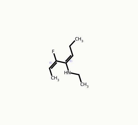 C/C=C(F)\C(=C/CC)NCC